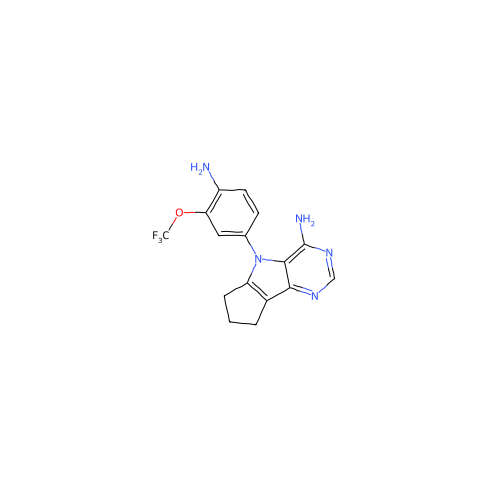 Nc1ccc(-n2c3c(c4ncnc(N)c42)CCC3)cc1OC(F)(F)F